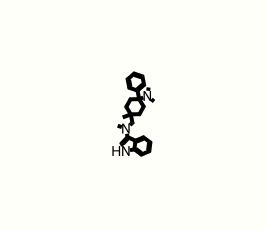 CN(CC1(C)CCC(c2ccccc2)(N(C)C)CC1)c1c[nH]c2ccccc12